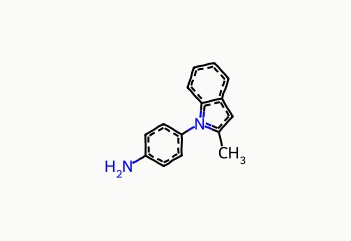 Cc1cc2ccccc2n1-c1ccc(N)cc1